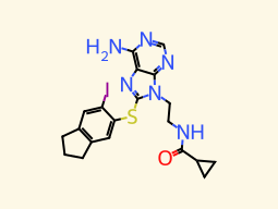 Nc1ncnc2c1nc(Sc1cc3c(cc1I)CCC3)n2CCNC(=O)C1CC1